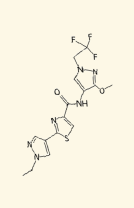 CCn1cc(-c2nc(C(=O)Nc3cn(CC(F)(F)F)nc3OC)cs2)cn1